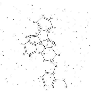 CCc1ccccc1CN1CCN(C2(c3ccccc3)C(=O)c3ccccc3C2=O)CC1